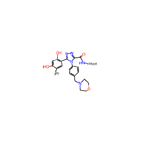 CCCCCCCNC(=O)c1nnc(-c2cc(C(C)C)c(O)cc2O)n1-c1ccc(CN2CCOCC2)cc1